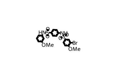 COc1cccc(NS(=O)(=O)c2ccc(NS(=O)(=O)c3ccc(OC)c(Br)c3)cc2)c1